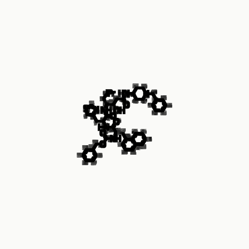 CC(C)C[C@H](NC(=O)C(Cc1cscn1)NC(=O)[C@H](Cc1cccc2ccccc12)NC(=O)OCc1ccccc1)[C@@H](O)CC(=O)NC1CCN(Cc2ccccc2)CC1